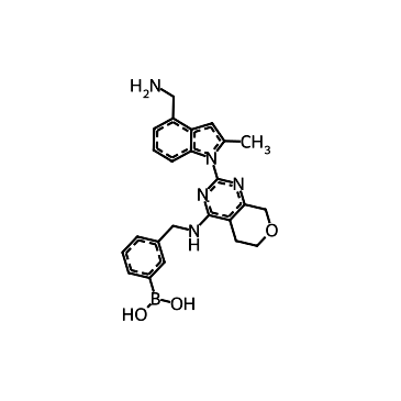 Cc1cc2c(CN)cccc2n1-c1nc2c(c(NCc3cccc(B(O)O)c3)n1)CCOC2